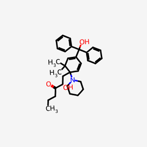 CCCC(=O)C(O)CC1(N2CCCCC2)C=CC(C(O)(c2ccccc2)c2ccccc2)=CC1(C)C